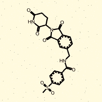 CS(=O)(=O)c1ccc(C(=O)NCc2ccc3c(c2)C(=O)N(C2CCC(=O)NC2=O)C3=O)cc1